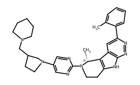 Cc1ccccc1-c1cc2c3c([nH]c2nn1)CCN(c1ncc(N2CCC(CN4CCCCC4)C2)cn1)[C@@H]3C